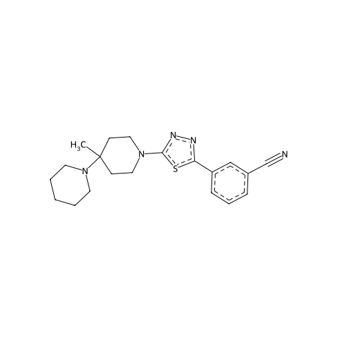 CC1(N2CCCCC2)CCN(c2nnc(-c3cccc(C#N)c3)s2)CC1